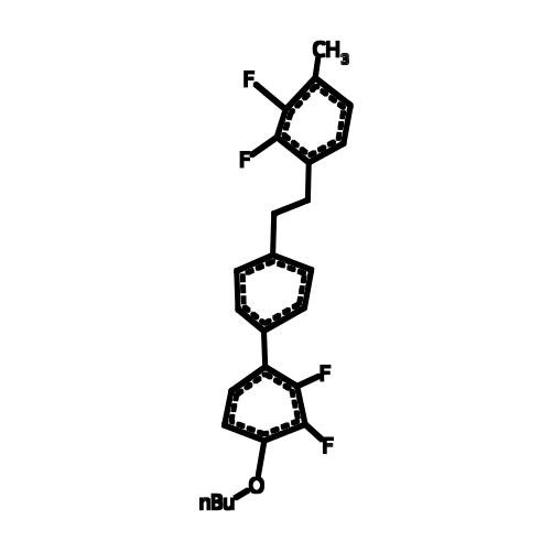 CCCCOc1ccc(-c2ccc(CCc3ccc(C)c(F)c3F)cc2)c(F)c1F